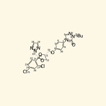 CCC(C)n1ncn(-c2ccc(OC[C@@H]3CO[C@@](Cn4nccn4)(c4ccc(Cl)cc4Cl)O3)cc2)c1=O